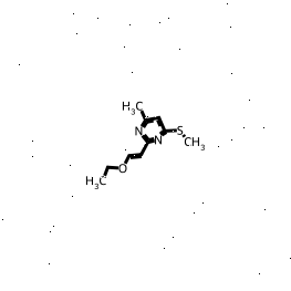 CCOC=Cc1nc(C)cc(SC)n1